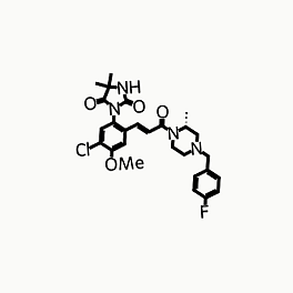 COc1cc(/C=C/C(=O)N2CCN(Cc3ccc(F)cc3)C[C@H]2C)c(N2C(=O)NC(C)(C)C2=O)cc1Cl